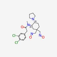 CN(C(=O)Cc1ccc(Cl)c(Cl)c1)[C@@H]1CC(CN=O)(CN=O)CC[C@H]1N1CCCC1